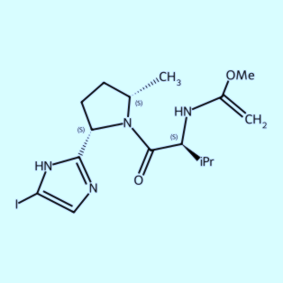 C=C(N[C@H](C(=O)N1[C@@H](C)CC[C@H]1c1ncc(I)[nH]1)C(C)C)OC